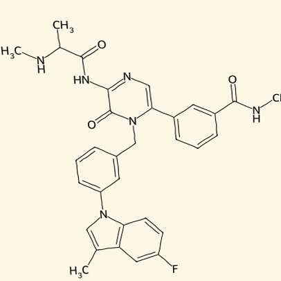 CNC(=O)c1cccc(-c2cnc(NC(=O)C(C)NC)c(=O)n2Cc2cccc(-n3cc(C)c4cc(F)ccc43)c2)c1